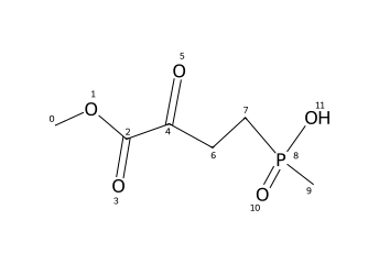 COC(=O)C(=O)CCP(C)(=O)O